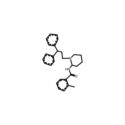 Cc1ccccc1C(=O)NC1CCCCN1CCC(c1ccccc1)c1ccccc1